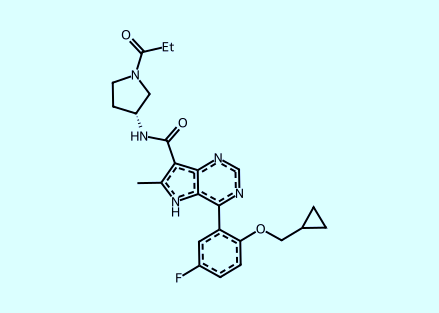 CCC(=O)N1CC[C@@H](NC(=O)c2c(C)[nH]c3c(-c4cc(F)ccc4OCC4CC4)ncnc23)C1